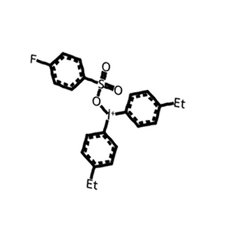 CCc1ccc([I+](OS(=O)(=O)c2ccc(F)cc2)c2ccc(CC)cc2)cc1